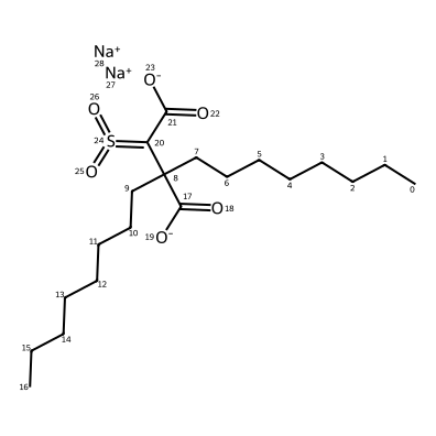 CCCCCCCCC(CCCCCCCC)(C(=O)[O-])C(C(=O)[O-])=S(=O)=O.[Na+].[Na+]